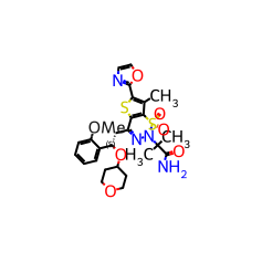 COc1ccccc1[C@H](CC1=NN(C(C)(C)C(N)=O)S(=O)(=O)c2c1sc(-c1ncco1)c2C)OC1CCOCC1